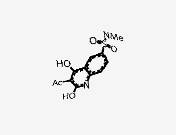 CNS(=O)(=O)c1ccc2nc(O)c(C(C)=O)c(O)c2c1